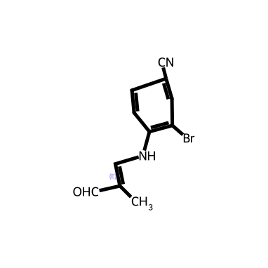 C/C(C=O)=C\Nc1ccc(C#N)cc1Br